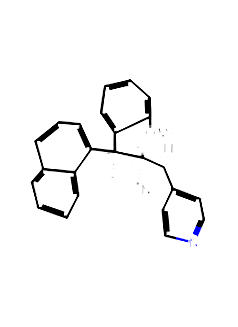 COc1ccccc1[C@](C)(c1cccc2ccccc12)[C@](C#N)(Cc1ccncc1)C(=O)O